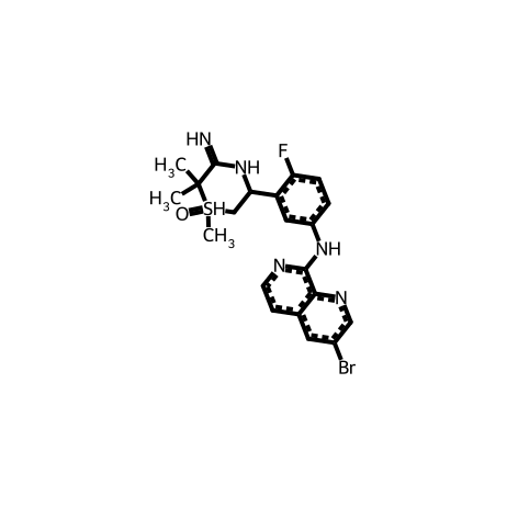 CC1(C)C(=N)NC(c2cc(Nc3nccc4cc(Br)cnc34)ccc2F)C[SH]1(C)=O